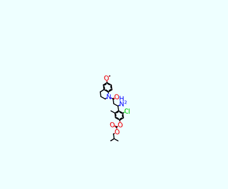 COc1ccc2c(c1)CCCN2C(=O)CC(N)c1c(C)cc(OC(=O)OCC(C)C)cc1Cl